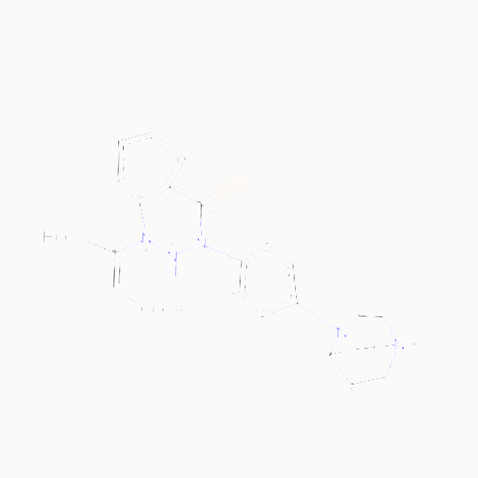 O=C(O)/C=C(/C(=O)O)N1NN(c2ccc(N3CCN4CCC3CC4)cc2)C(=O)c2ccccc21